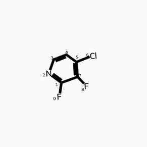 Fc1nccc(Cl)c1F